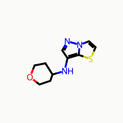 c1cn2ncc(NC3CCOCC3)c2s1